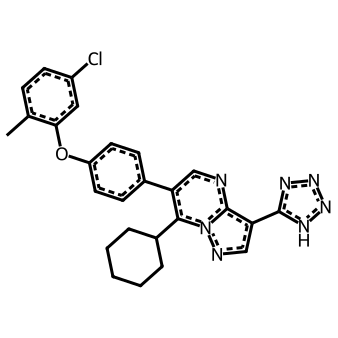 Cc1ccc(Cl)cc1Oc1ccc(-c2cnc3c(-c4nnn[nH]4)cnn3c2C2CCCCC2)cc1